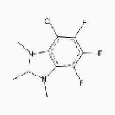 CC1N(C)c2c(F)c(F)c(F)c(Cl)c2N1C